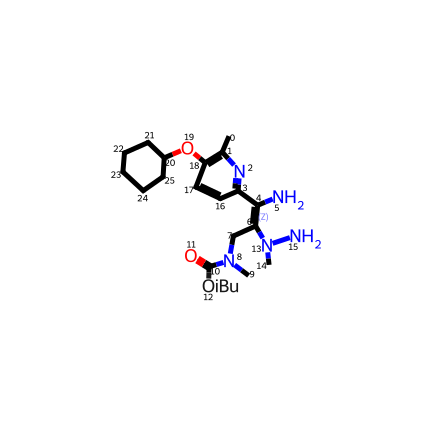 Cc1nc(/C(N)=C(\CN(C)C(=O)OCC(C)C)N(C)N)ccc1OC1CCCCC1